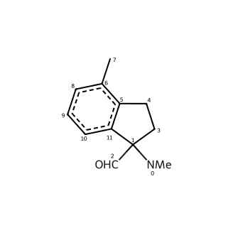 CNC1(C=O)CCc2c(C)cccc21